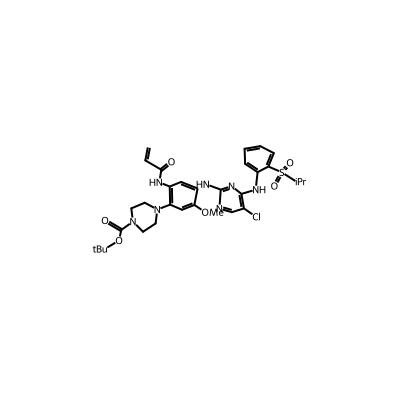 C=CC(=O)Nc1cc(Nc2ncc(Cl)c(Nc3ccccc3S(=O)(=O)C(C)C)n2)c(OC)cc1N1CCN(C(=O)OC(C)(C)C)CC1